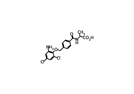 CC(NC(=O)c1ccc(COc2c(N)cc(Cl)cc2Cl)cc1)C(=O)O